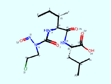 CC[C@H](C)[C@H](NC(=O)N(CCCl)N=O)C(=O)N[C@@H](CC(C)C)C(=O)O